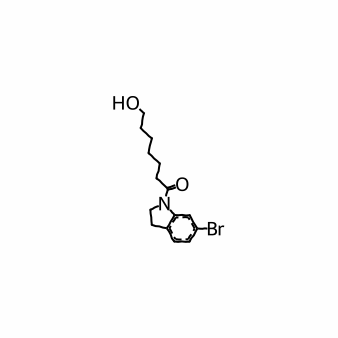 O=C(CCCCCCO)N1CCc2ccc(Br)cc21